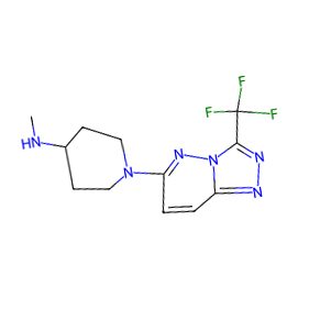 CNC1CCN(c2ccc3nnc(C(F)(F)F)n3n2)CC1